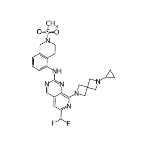 CS(=O)(=O)N1CCc2c(cccc2Nc2ncc3cc(C(F)F)nc(N4CC5(C4)CN(C4CC4)C5)c3n2)C1